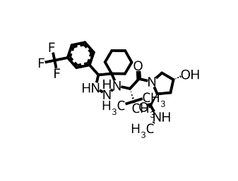 CNC(=O)[C@@H]1C[C@@H](O)CN1C(=O)[C@@H](N1NNC(c2cccc(C(F)(F)F)c2)C12CCCCC2)C(C)(C)C